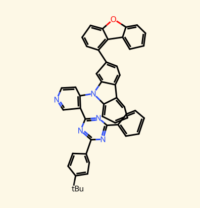 CC(C)(C)c1ccc(-c2nc(-c3ccccc3)nc(-c3cnccc3-n3c4ccccc4c4ccc(-c5cccc6oc7ccccc7c56)cc43)n2)cc1